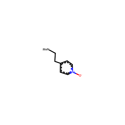 CNCCc1cc[n+]([O-])cc1